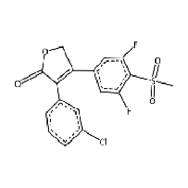 CS(=O)(=O)c1c(F)cc(C2=C(c3cccc(Cl)c3)C(=O)OC2)cc1F